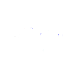 Cc1cc(NCc2c(F)ccc(N)c2F)no1